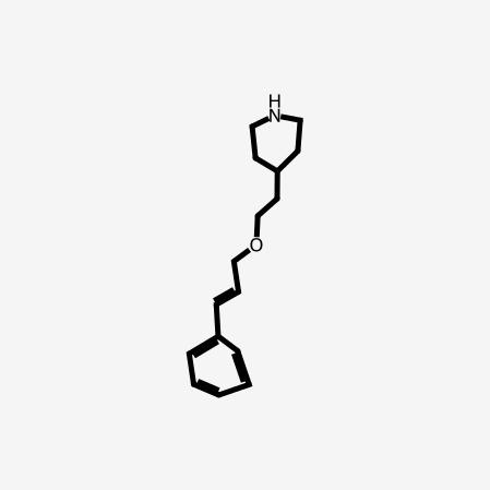 C(=C\c1ccccc1)/COCCC1CCNCC1